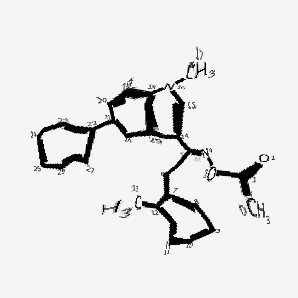 CC(=O)O/N=C(\Cc1ccccc1C)c1cn(C)c2ccc(-c3ccccc3)cc12